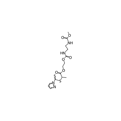 COC(=O)NCCNC(=O)OCCOC(=O)C(C)SC(=S)n1cccn1